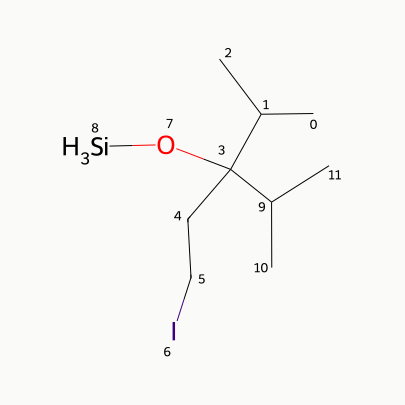 CC(C)C(CCI)(O[SiH3])C(C)C